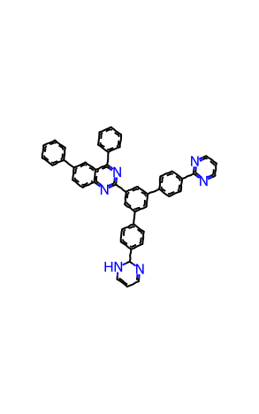 C1=CNC(c2ccc(-c3cc(-c4ccc(-c5ncccn5)cc4)cc(-c4nc(-c5ccccc5)c5cc(-c6ccccc6)ccc5n4)c3)cc2)N=C1